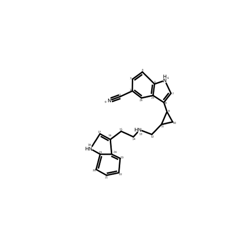 N#Cc1ccc2[nH]cc(C3CC3CNCCc3c[nH]c4ccccc34)c2c1